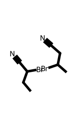 CC(Br)CC#N.CCC(Br)C#N